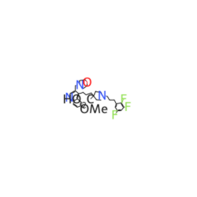 COc1ccc2ncc(CN3CCOCC3)c(CCCC3(C(=O)O)CCN(CCCc4cc(F)cc(F)c4F)CC3)c2c1